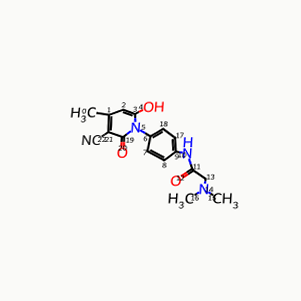 Cc1cc(O)n(-c2ccc(NC(=O)CN(C)C)cc2)c(=O)c1C#N